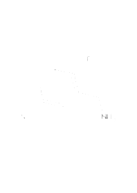 N#Cc1ccc(F)c(CN)c1